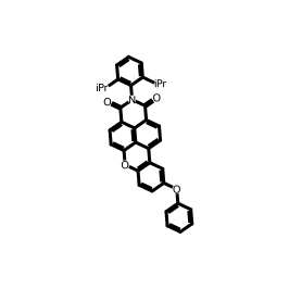 CC(C)c1cccc(C(C)C)c1-n1c(=O)c2ccc3oc4ccc(Oc5ccccc5)cc4c4ccc(c1=O)c2c34